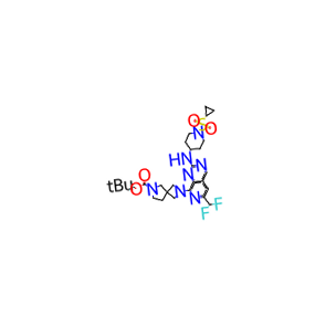 CC(C)(C)OC(=O)N1CCC2(C1)CN(c1nc(C(F)F)cc3cnc(NC4CCN(S(=O)(=O)C5CC5)CC4)nc13)C2